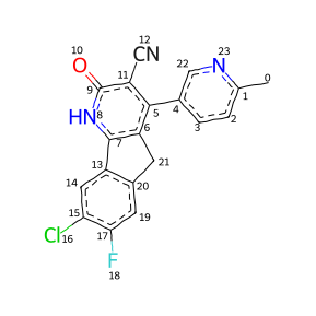 Cc1ccc(-c2c3c([nH]c(=O)c2C#N)-c2cc(Cl)c(F)cc2C3)cn1